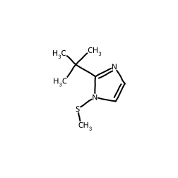 CSn1ccnc1C(C)(C)C